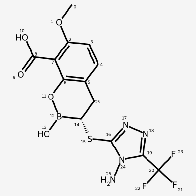 COc1ccc2c(c1C(=O)O)OB(O)[C@@H](Sc1nnc(C(F)(F)F)n1N)C2